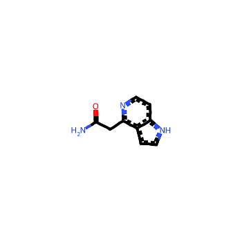 NC(=O)Cc1nccc2[nH]ccc12